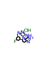 CN1CCCCC1N(C)Cc1cc(F)cc(-c2ccc3ncnc(N)c3n2)c1.Cl